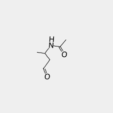 CC(=O)NC(C)CC=O